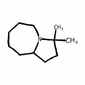 CC1(C)CCC2CCCCCN21